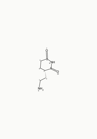 NCC[C@@H]1CCC(=O)NC1=O